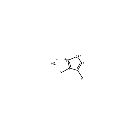 Cc1conc1C.Cl